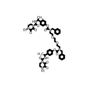 CCN1CCN(C(=O)NC(C)c2ccc(OC(=O)N(CCOCCOCCN(Cc3ccccc3)C(=O)Oc3ccc(C(C)NC(=O)N4CCN(CC)C(=O)C4=O)cc3)Cc3ccccc3)cc2)C(=O)C1=O